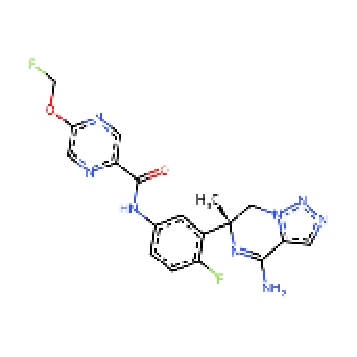 C[C@@]1(c2cc(NC(=O)c3cnc(OCF)cn3)ccc2F)Cn2nncc2C(N)=N1